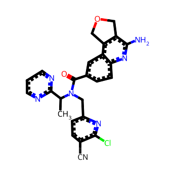 CC(c1ncccn1)N(Cc1ccc(C#N)c(Cl)n1)C(=O)c1ccc2nc(N)c3c(c2c1)COC3